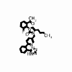 CCCCc1cn(-c2c(F)cccc2C(C)=O)c(=O)n1Cc1ccc(-c2ccccc2-c2nnn[nH]2)nc1